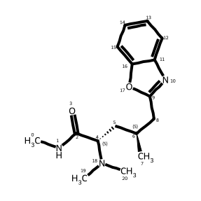 CNC(=O)[C@H](C[C@H](C)Cc1nc2ccccc2o1)N(C)C